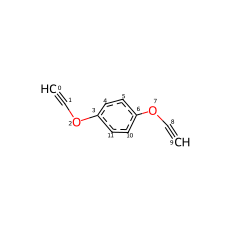 C#COc1ccc(OC#C)cc1